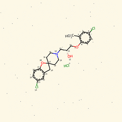 Cl.O=C(O)c1cc(Cl)ccc1OC[C@H](O)CN1CCC2(CC1)Cc1cc(Cl)ccc1O2